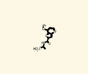 CC(C)Oc1ccnc2cc(C(=O)NC(C)C(=O)O)sc12